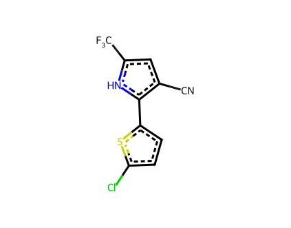 N#Cc1cc(C(F)(F)F)[nH]c1-c1ccc(Cl)s1